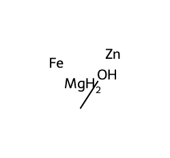 CO.[Fe].[MgH2].[Zn]